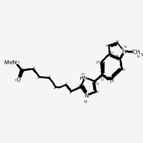 CNC(=O)CCCCCCc1ncc(-c2ccc3c(ccn3C)c2)[nH]1